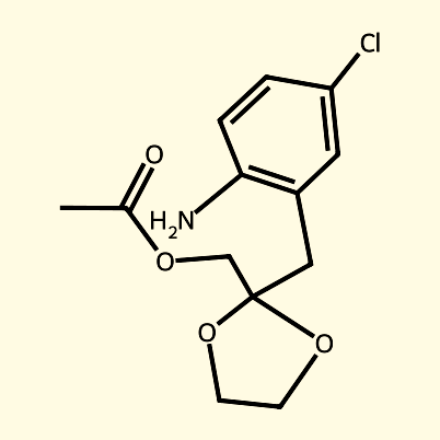 CC(=O)OCC1(Cc2cc(Cl)ccc2N)OCCO1